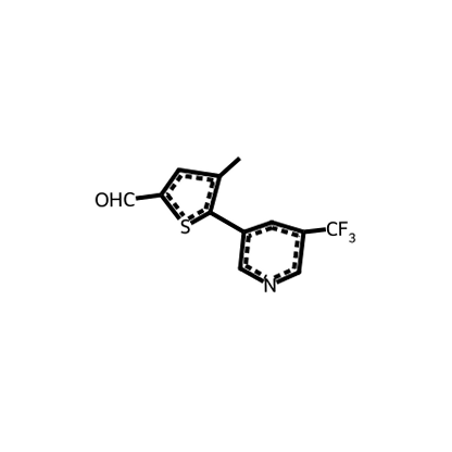 Cc1cc(C=O)sc1-c1cncc(C(F)(F)F)c1